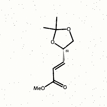 COC(=O)C=C[C@H]1COC(C)(C)O1